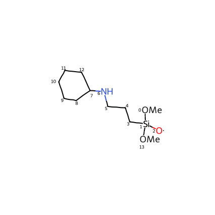 CO[Si]([O])(CCCNC1CCCCC1)OC